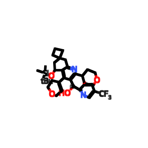 CC(C)(C)[Si](C)(C)OC1CC2(CCC2)Cc2nc(C3CCOCC3)c([C@H](O)c3ccc(C(F)(F)F)cn3)c(C3=CCOCC3)c21